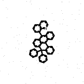 c1ccc(C2(c3ccccc3)c3ccccc3-c3c4ccccc4c(-c4cccc5cccnc45)c4cccc2c34)cc1